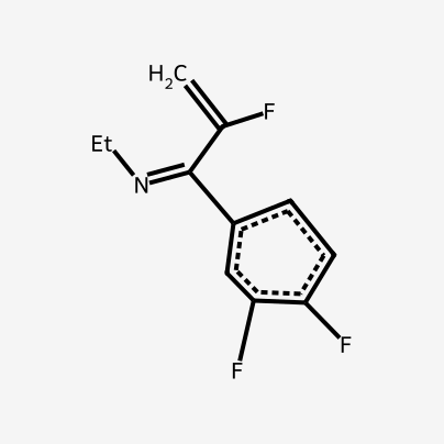 C=C(F)/C(=N\CC)c1ccc(F)c(F)c1